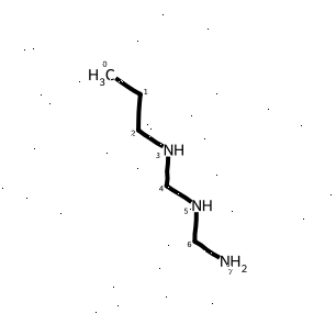 CCCNCNCN